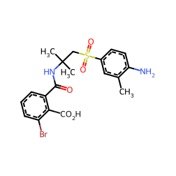 Cc1cc(S(=O)(=O)CC(C)(C)NC(=O)c2cccc(Br)c2C(=O)O)ccc1N